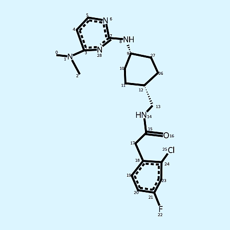 CN(C)c1ccnc(N[C@H]2CC[C@@H](CNC(=O)Cc3ccc(F)cc3Cl)CC2)n1